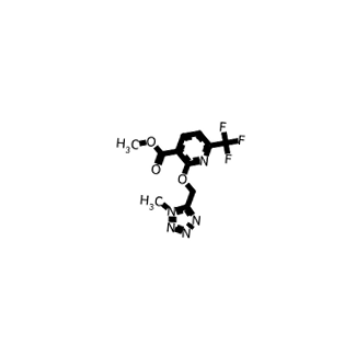 COC(=O)c1ccc(C(F)(F)F)nc1OCc1nnnn1C